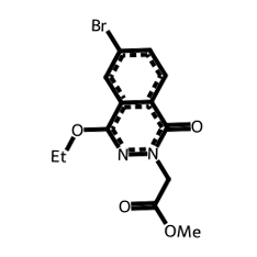 CCOc1nn(CC(=O)OC)c(=O)c2ccc(Br)cc12